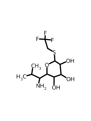 CC(C)C(N)C1OC(SCC(F)(F)F)C(O)C(O)C1O